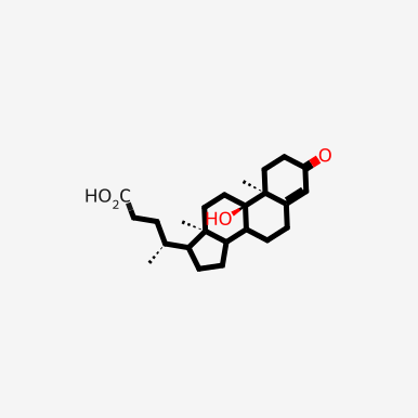 C[C@H](CCC(=O)O)C1CCC2C3CCC4=CC(=O)CC[C@]4(C)[C@@]3(O)CC[C@@]21C